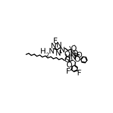 CCCCCCCCCCCCCCCOC(=O)[C@H](Cc1cc(F)cc(F)c1)NP(=O)(OC[C@@](C)(OC)[C@@H](O)Cn1cnc2c(N)nc(F)nc21)Oc1ccccc1